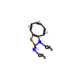 C/N=c1/sc2c(n1C)\C=C/C=C\C=C/2